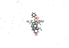 COC(C[S+]([O-])c1ccccc1)=C1[C@H](C)C[C@H]2[C@@H]3CCC4=CC(=O)CC[C@]4(C)C3=CC[C@]12C